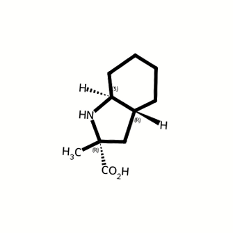 C[C@]1(C(=O)O)C[C@H]2CCCC[C@@H]2N1